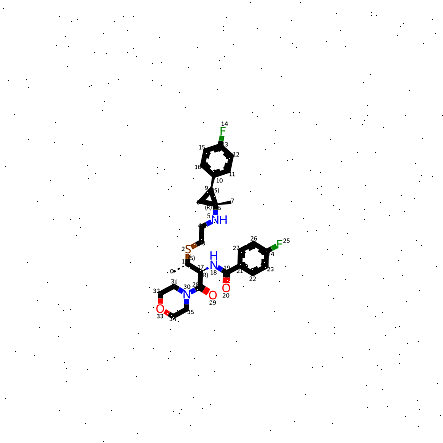 C[C@H](SCCN[C@]1(C)C[C@H]1c1ccc(F)cc1)[C@H](NC(=O)c1ccc(F)cc1)C(=O)N1CCOCC1